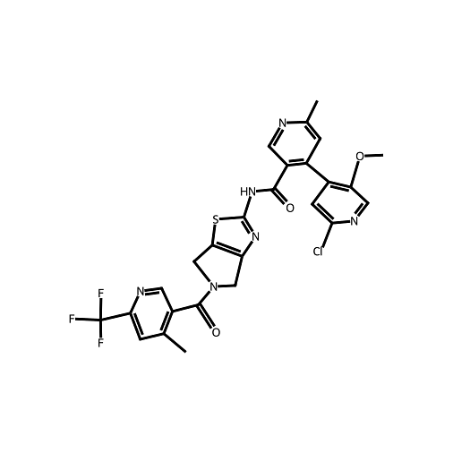 COc1cnc(Cl)cc1-c1cc(C)ncc1C(=O)Nc1nc2c(s1)CN(C(=O)c1cnc(C(F)(F)F)cc1C)C2